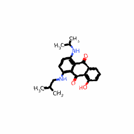 CC(C)CNc1ccc(NC(C)C)c2c1C(=O)c1c(O)cccc1C2=O